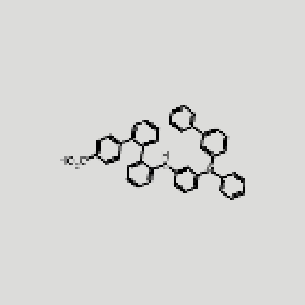 O=C(O)c1ccc(-c2ccccc2-c2ccccc2Bc2cccc(B(c3ccccc3)c3cccc(-c4ccccc4)c3)c2)cc1